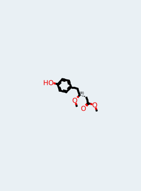 COC(=O)C[C@@H](Cc1ccc(O)cc1)OC